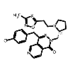 Cc1noc(CCN2CCC[C@@H]2Cn2nc(Cc3ccc(Cl)cc3)c3cnccc3c2=O)n1